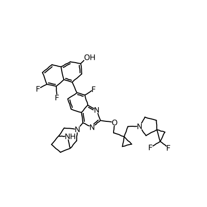 Oc1cc(-c2ccc3c(N4CC5CCC(C4)N5)nc(OCC4(CN5CCC6(C5)CC6(F)F)CC4)nc3c2F)c2c(F)c(F)ccc2c1